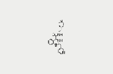 O=C(NCCc1ccncc1)C(NCCc1cccnc1)c1ccccc1Br